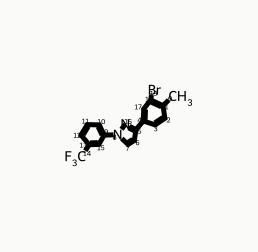 Cc1ccc(-c2ccn(-c3cccc(C(F)(F)F)c3)n2)cc1Br